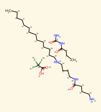 CCCC(=O)NC(N)=O.CCCCCCCCCCCCCCNCCCCNC(=O)CCCN.O=C(O)C(F)(F)F